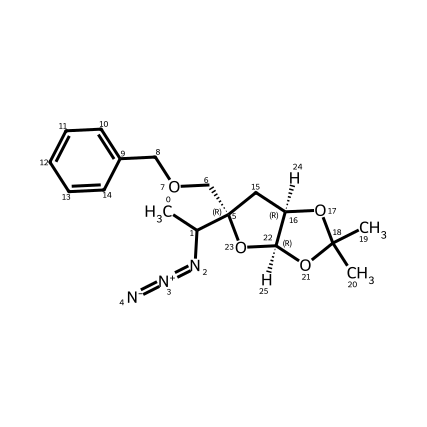 CC(N=[N+]=[N-])[C@@]1(COCc2ccccc2)C[C@H]2OC(C)(C)O[C@H]2O1